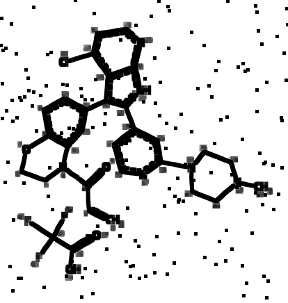 C=CC(=O)N1CCOc2ccc(-c3c(-c4ccnc(N5CCN(C)CC5)c4)[nH]c4nccc(Cl)c34)cc21.O=C(O)C(F)(F)F